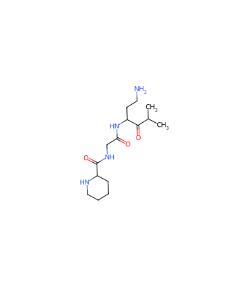 CC(C)C(=O)C(CCN)NC(=O)CNC(=O)C1CCCCN1